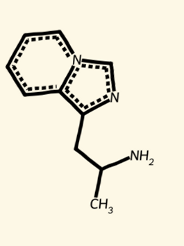 CC(N)Cc1ncn2ccccc12